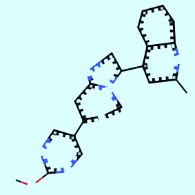 CCOc1ncc(-c2ccn3c(-c4cc(C)nc5ccccc45)cnc3c2)cn1